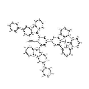 N#Cc1c(-n2c3ccccc3c3cc(-c4ccccc4)ccc32)cc(-c2ccc3c(c2)-c2ccccc2C32c3cccnc3-c3ncccc32)cc1-n1c2ccccc2c2cc(-c3ccccc3)ccc21